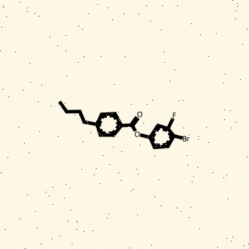 CCCCc1ccc(C(=O)Oc2ccc(Br)c(F)c2)cc1